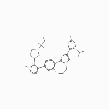 Cc1nc(-c2cn3c(n2)-c2ccc(-c4cnn(C)c4C4CCN(C(C)(C)CO)C4)cc2OCC3)n(C(C)C)n1